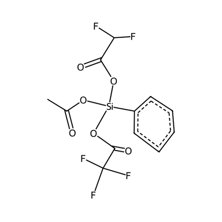 CC(=O)O[Si](OC(=O)C(F)F)(OC(=O)C(F)(F)F)c1ccccc1